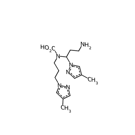 Cc1cnn(CCCN(C(=O)O)C(CCN)n2cc(C)cn2)c1